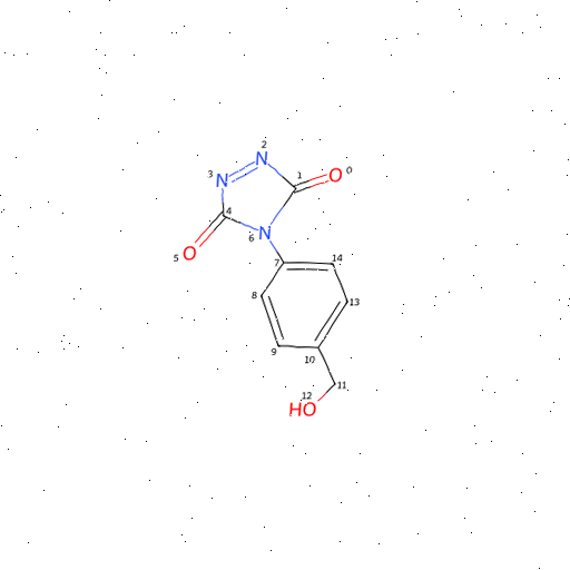 O=C1N=NC(=O)N1c1ccc(CO)cc1